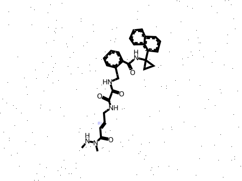 CNN(C)C(=O)/C=C/CNC(=O)C(=O)NCc1ccccc1C(=O)NC1(c2cccc3ccccc23)CC1